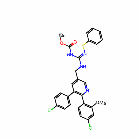 COc1cc(Cl)ccc1-c1ncc(CN/C(=N/Sc2ccccc2)NC(=O)OC(C)(C)C)cc1-c1ccc(Cl)cc1